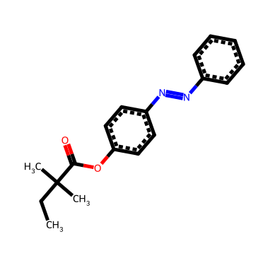 CCC(C)(C)C(=O)Oc1ccc(N=Nc2ccccc2)cc1